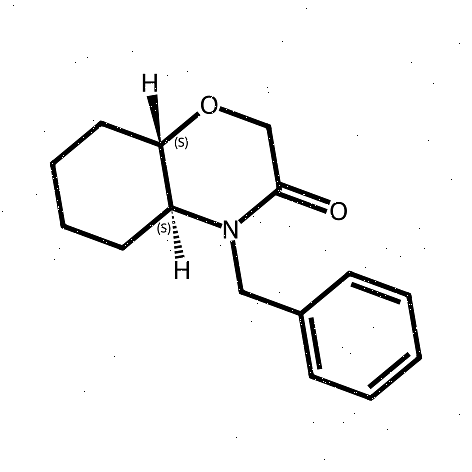 O=C1CO[C@H]2CCCC[C@@H]2N1Cc1ccccc1